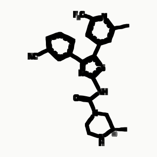 Cc1cc(-c2sc(NC(=O)N3CCN[C@H](C)C3)nc2-c2cccc(C#N)c2)cc(C(F)(F)F)n1